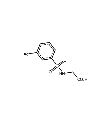 CC(=O)c1cccc(S(=O)(=O)NCC(=O)O)c1